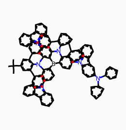 CC(C)(C)c1cc(-c2ccccc2)c(N2c3cc(-n4c5ccccc5c5ccccc54)ccc3B3c4ccc(-n5c6ccccc6c6cc(N(c7ccccc7)c7ccccc7)ccc65)cc4N(c4c(-c5ccccc5)cccc4-c4ccccc4)c4cc(-n5c6ccccc6c6ccccc65)cc2c43)c(-c2ccccc2)c1